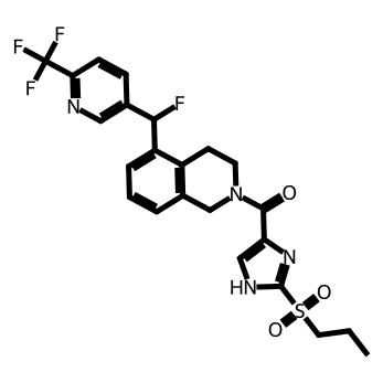 CCCS(=O)(=O)c1nc(C(=O)N2CCc3c(cccc3C(F)c3ccc(C(F)(F)F)nc3)C2)c[nH]1